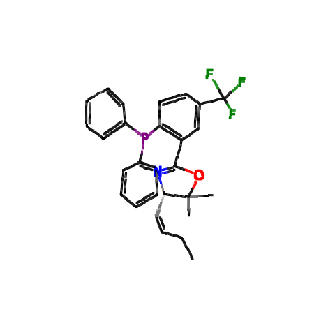 CC/C=C\[C@@H]1N=C(c2cc(C(F)(F)F)ccc2P(c2ccccc2)c2ccccc2)OC1(C)C